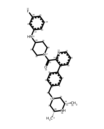 C[C@@H]1CN(Cc2ccc(-c3cccnc3C(=O)N3CCC(Nc4cccc(F)c4)CC3)cc2)C[C@H](C)N1